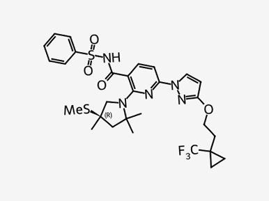 CS[C@@]1(C)CN(c2nc(-n3ccc(OCCC4(C(F)(F)F)CC4)n3)ccc2C(=O)NS(=O)(=O)c2ccccc2)C(C)(C)C1